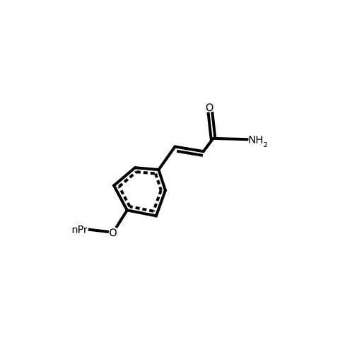 CCCOc1ccc(C=CC(N)=O)cc1